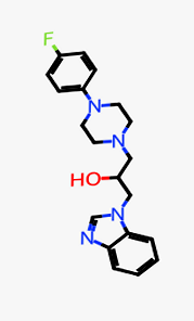 OC(CN1CCN(c2ccc(F)cc2)CC1)Cn1cnc2ccccc21